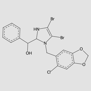 OC(c1ccccc1)C1NC(Br)=C(Br)N1Cc1cc2c(cc1Cl)OCO2